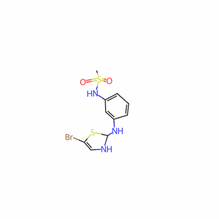 CS(=O)(=O)Nc1cccc(NC2NC=C(Br)S2)c1